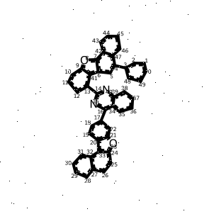 c1ccc(-c2cc3c(oc4cccc(-c5nc(-c6ccc7c(c6)oc6ccc8ccccc8c67)c6ccccc6n5)c43)c3ccccc23)cc1